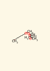 CCCCCCCCCCCCCCOCC(C)OCC(C)OC(C)(C)C(=O)CC